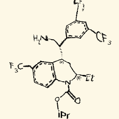 CC[C@@H]1C[C@@H](C(N)c2cc(C(F)(F)F)cc(C(F)(F)F)c2)c2cc(C(F)(F)F)ccc2N1C(=O)OC(C)C